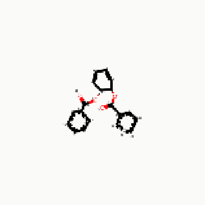 O=C(O[C@H]1C=CC=C[C@H]1OC(=O)c1ccccc1)c1ccccc1